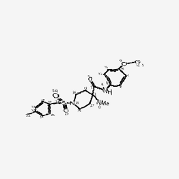 CNC1(C(=O)Nc2ccc(OC(F)(F)F)cc2)CCN(S(=O)(=O)c2ccc(C)cc2)CC1